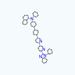 c1ccc(N(c2ccc(-c3ccc(-c4ccc(-c5ccc(-c6nc7ccccc7n6-c6ccccc6)nc5)nc4)cc3)cc2)c2cccc3ccccc23)cc1